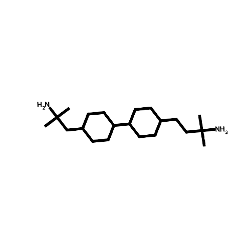 CC(C)(N)CCC1CCC(C2CCC(CC(C)(C)N)CC2)CC1